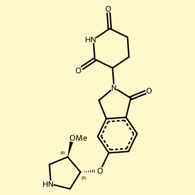 CO[C@@H]1CNC[C@H]1Oc1ccc2c(c1)CN(C1CCC(=O)NC1=O)C2=O